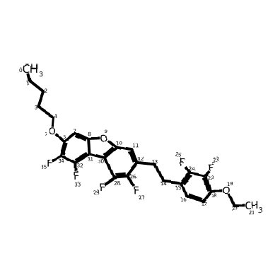 CCCCCOc1cc2oc3cc(CCc4ccc(OCC)c(F)c4F)c(F)c(F)c3c2c(F)c1F